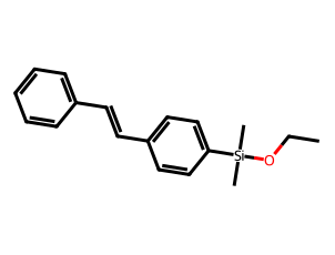 CCO[Si](C)(C)c1ccc(C=Cc2ccccc2)cc1